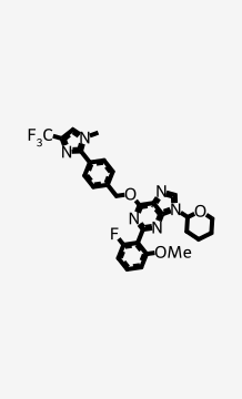 COc1cccc(F)c1-c1nc(OCc2ccc(-c3nc(C(F)(F)F)cn3C)cc2)c2ncn(C3CCCCO3)c2n1